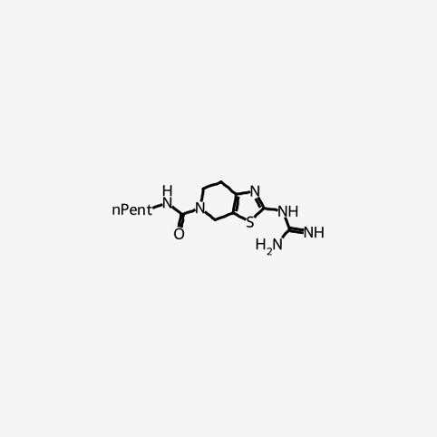 CCCCCNC(=O)N1CCc2nc(NC(=N)N)sc2C1